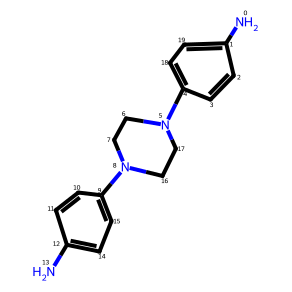 Nc1ccc(N2CCN(c3ccc(N)cc3)CC2)cc1